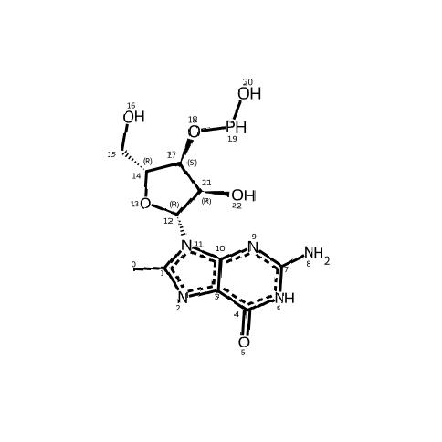 Cc1nc2c(=O)[nH]c(N)nc2n1[C@@H]1O[C@H](CO)[C@@H](OPO)[C@H]1O